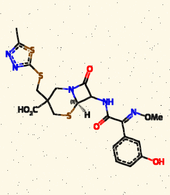 CON=C(C(=O)NC1C(=O)N2CC(CSc3nnc(C)s3)(C(=O)O)CS[C@H]12)c1cccc(O)c1